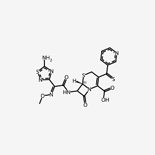 CON=C(C(=O)NC1C(=O)N2C(C(=O)O)=C(C(=S)c3cccnc3)CS[C@@H]12)c1nsc(N)n1